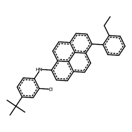 CCc1ccccc1-c1ccc2ccc3c(Nc4ccc(C(C)(C)C)cc4Cl)ccc4ccc1c2c43